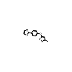 Cc1cc(Oc2ccc(C3OC=CO3)cc2)on1